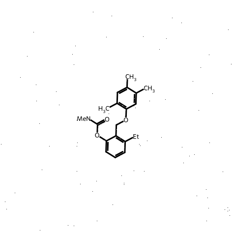 CCc1cccc(OC(=O)NC)c1COc1cc(C)c(C)cc1C